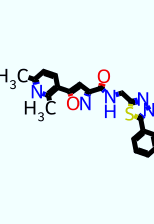 Cc1ccc(-c2cc(C(=O)NCc3nnc(-c4ccccc4)s3)no2)c(C)n1